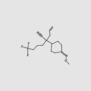 C=CCC(C#N)(CCCC(F)(F)F)C1CCC(=NOC)CC1